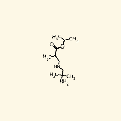 CC(C)OC(=O)C(C)CNCC(C)(C)N